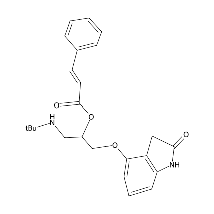 CC(C)(C)NCC(COc1cccc2c1CC(=O)N2)OC(=O)C=Cc1ccccc1